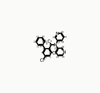 CC(c1c(Cl)cc(Cl)cc1-c1ccccc1)N(c1cccnc1)c1cccnc1